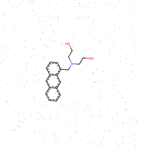 OCCN(CCO)Cc1cccc2cc3ccccc3cc12